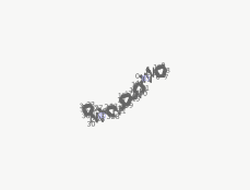 C/C(=N\N(C)c1ccccc1)c1cc[n+](Cc2cccc(C[n+]3ccc(/C(C)=N/N(C)c4ccccc4)cc3)c2)cc1